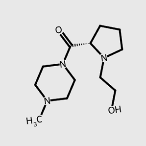 CN1CCN(C(=O)[C@@H]2CCCN2CCO)CC1